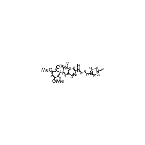 COc1cc(OC)c(Cl)c(-c2cc3cnc(NCCCN4CCN(C)CC4)cc3n(C)c2=O)c1